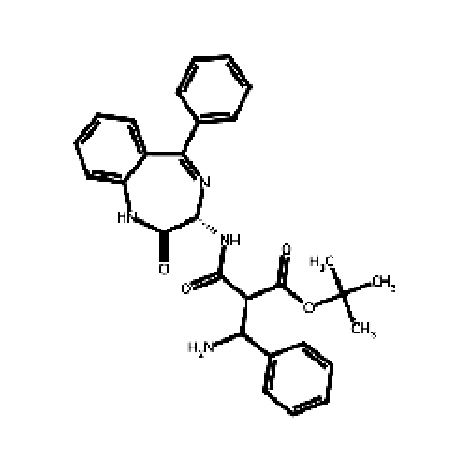 CC(C)(C)OC(=O)[C@H](C(=O)N[C@H]1N=C(c2ccccc2)c2ccccc2NC1=O)C(N)c1ccccc1